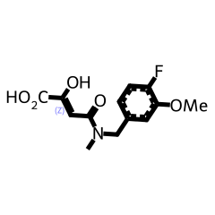 COc1cc(CN(C)C(=O)/C=C(\O)C(=O)O)ccc1F